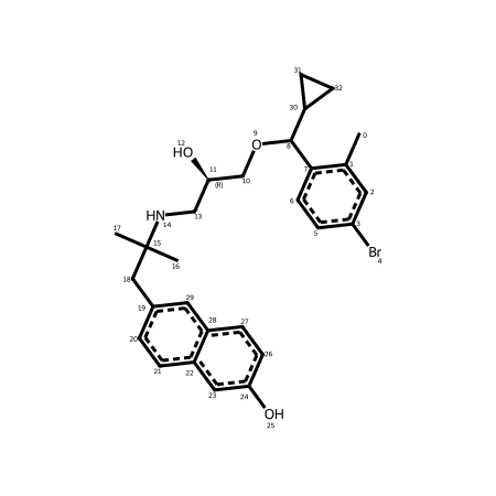 Cc1cc(Br)ccc1C(OC[C@H](O)CNC(C)(C)Cc1ccc2cc(O)ccc2c1)C1CC1